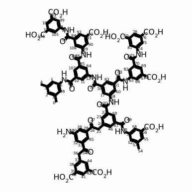 Cc1cc(C)cc(NC(=O)c2cc(NC(=O)c3cc(NC(=O)c4cc(CC(=O)c5cc(N)cc(C(=O)Cc6cc(C(=O)O)cc(C(=O)O)c6)c5)cc(C(=O)Nc5cc(C)cc(C(=O)O)c5)c4)cc(C(=O)Nc4cc(C(=O)O)cc(C(=O)Nc5cc(C(=O)O)cc(C(=O)O)c5)c4)c3)cc(C(=O)Nc3cc(C(=O)O)cc(C(=O)Nc4cc(C(=O)O)cc(C(=O)O)c4)c3)c2)c1